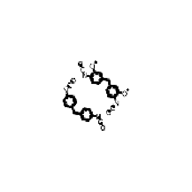 COc1cc(Cc2ccc(N=C=O)c(OC)c2)ccc1N=C=O.O=C=Nc1ccc(Cc2ccc(N=C=O)cc2)cc1